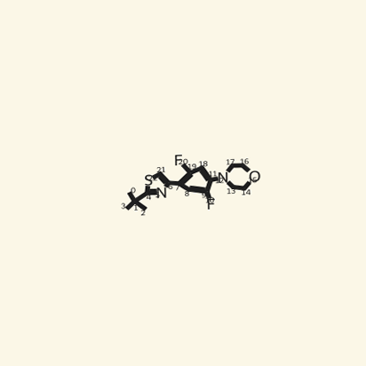 CC(C)(C)c1nc(-c2cc(F)c(N3CCOCC3)cc2F)cs1